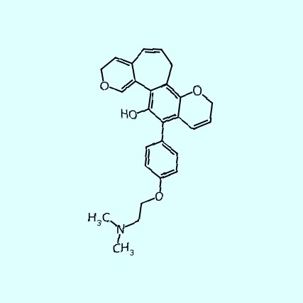 CN(C)CCOc1ccc(-c2c(O)c3c(c4c2C=CCO4)CC=CC2=CCOC=C23)cc1